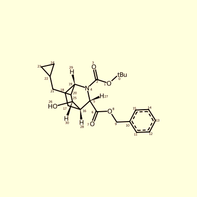 CC(C)(C)OC(=O)N1[C@H](C(=O)OCc2ccccc2)[C@@H]2CC[C@H]1C(CC1CC1)[C@H]2O